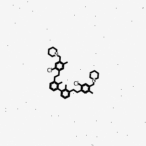 Cc1cc(CCc2cccc(-c3cccc(CCc4cc(C)c(CN5CCCCC5)cc4Cl)c3C)c2C)c(Cl)cc1CN1CCCCC1